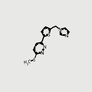 CSc1ccc(-c2ccc(Cn3ccnc3)s2)nn1